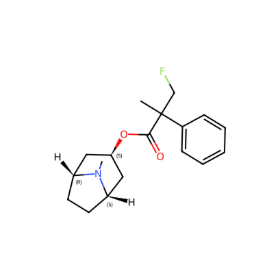 CN1[C@@H]2CC[C@H]1C[C@H](OC(=O)C(C)(CF)c1ccccc1)C2